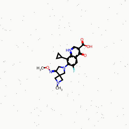 CON=C1CN(c2c(F)cc3c(=O)c(C(=O)O)c[nH]c3c2C2CC2)CC12CN(C)C2